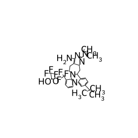 CN(C)c1nc(N)c2c(n1)CC(c1ccc(C(C)(C)C)cc1)N(c1ncccc1C(F)(F)F)CC2.O=C(O)C(F)(F)F